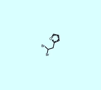 BrC(Br)Cc1ccco1